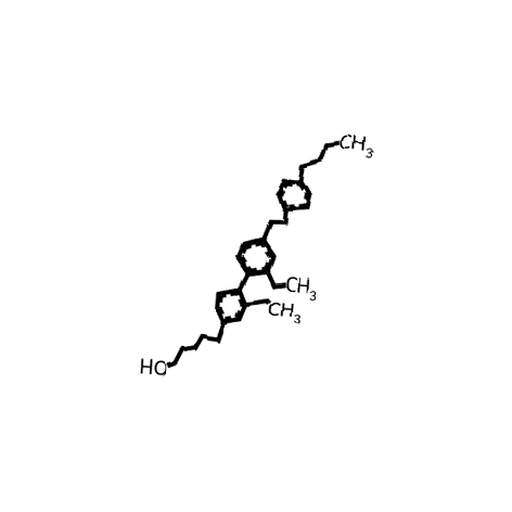 CCCCc1ccc(CCc2ccc(-c3ccc(CCCCCO)cc3CC)c(CC)c2)cc1